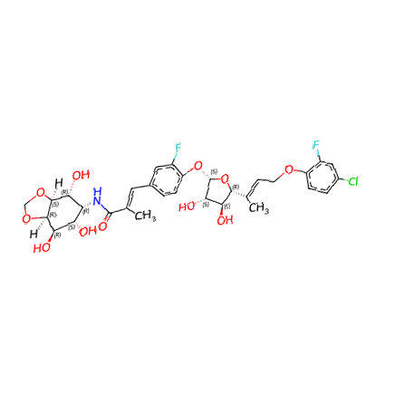 CC(=Cc1ccc(O[C@@H]2O[C@H](C(C)=CCOc3ccc(Cl)cc3F)[C@@H](O)[C@@H]2O)c(F)c1)C(=O)N[C@@H]1[C@H](O)[C@@H](O)[C@H]2OCO[C@H]2[C@@H]1O